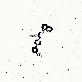 COC(COc1cccc2c1SCCC2)CN1CCN(c2cccc(C(F)(F)F)c2)CC1